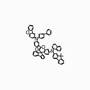 CC1(C)c2ccccc2-c2ccc(N(c3ccc4c(c3)Oc3c(oc5ccc(N(c6ccc(-c7ccccc7)cc6)c6ccc7oc8ccccc8c7c6)cc35)C43c4ccccc4-c4ccccc43)c3cccc4ccccc34)cc21